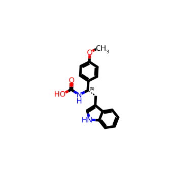 COc1ccc([C@H](Cc2c[nH]c3ccccc23)NC(=O)O)cc1